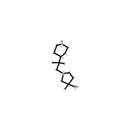 CC(C)C1(C)CCN(CC(C)(C)C2CCNCC2)C1